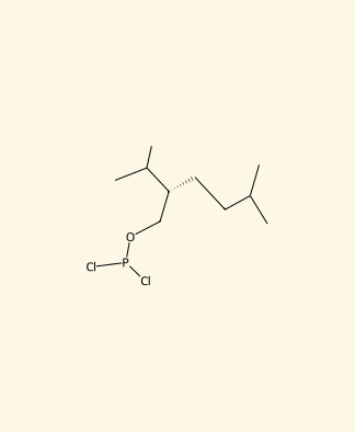 CC(C)CC[C@H](COP(Cl)Cl)C(C)C